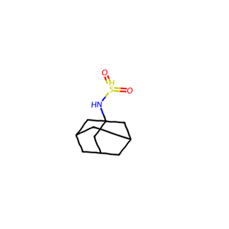 O=[SH](=O)NC12CC3CC(CC(C3)C1)C2